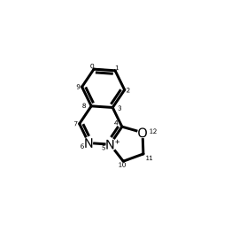 c1ccc2c3[n+](ncc2c1)CCO3